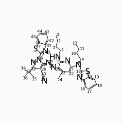 CCCCNc1nc(N(CCCC)c2nc3ccccc3s2)cc(C)c1/N=N/c1c(C#N)c(C(C)(C)C)nn1-c1nc2ccccc2s1